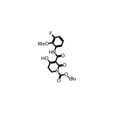 COc1c(F)cccc1NC(=O)C1=C(O)CCN(C(=O)OC(C)(C)C)C1=O